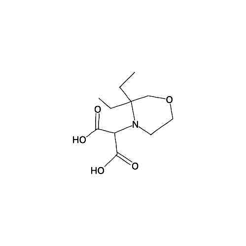 CCC1(CC)COCCN1C(C(=O)O)C(=O)O